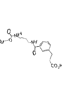 CC(C)(C)OC(=O)NCCCNC(=O)c1cccc(CCC(=O)O)c1